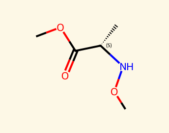 CON[C@@H](C)C(=O)OC